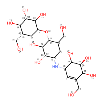 OCC1=C[C@H](N[C@H]2CC(CO)[C@@H](OC3C[C@H](CO)C(O)[C@H](O)C3O)C(O)[C@H]2O)C(O)[C@@H](O)C1O